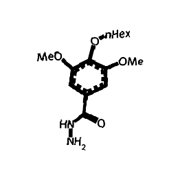 CCCCCCOc1c(OC)cc(C(=O)NN)cc1OC